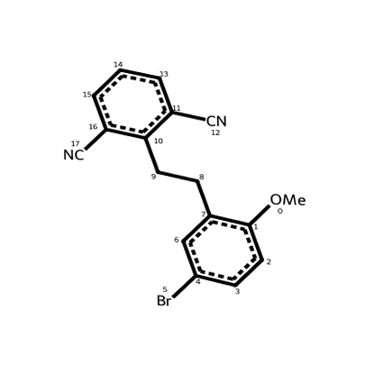 COc1ccc(Br)cc1CCc1c(C#N)cccc1C#N